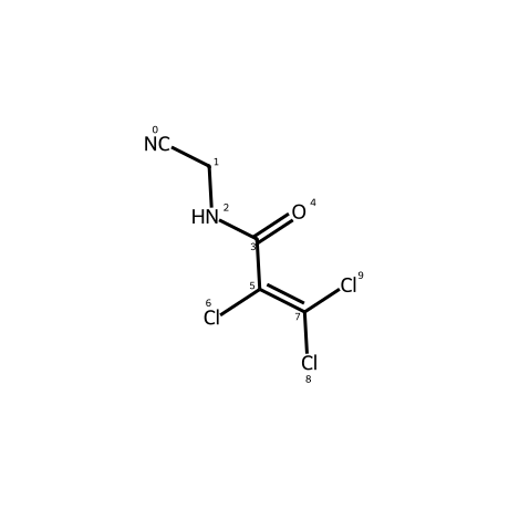 N#CCNC(=O)C(Cl)=C(Cl)Cl